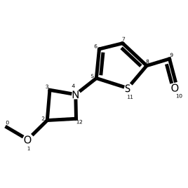 COC1CN(c2ccc(C=O)s2)C1